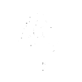 CNCCN(C)C(=O)CCc1cc(C(C)(C)C)c(O)c(C(C)(C)C)c1C